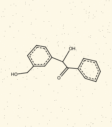 O=C(c1ccccc1)C(O)c1cccc(CO)c1